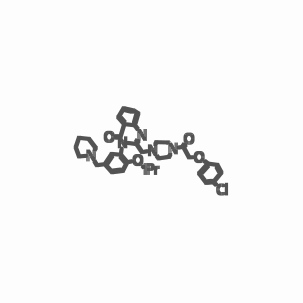 CC(C)Oc1ccc(CN2CCCCC2)cc1-n1c(CN2CCN(C(=O)COc3ccc(Cl)cc3)CC2)nc2ccccc2c1=O